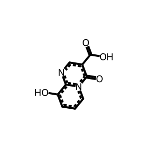 O=C(O)c1cnc2c(O)cccn2c1=O